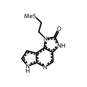 CSCCn1c(=O)[nH]c2cnc3[nH]ccc3c21